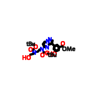 COC(=O)c1cc(O)cc(-c2cnn3ccc(N(CCN(CCO)C(=O)OC(C)(C)C)C(=O)OC(C)(C)C)nc23)c1